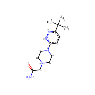 CC(C)(C)c1ccc(N2CCN(CC(N)=O)CC2)nn1